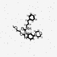 COCCOc1nc2ccc(N3CCOCC3)cc2n1C(=O)NCCCc1ccccc1